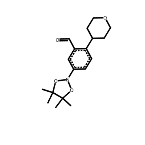 CC1(C)OB(c2ccc(C3CCOCC3)c(C=O)c2)OC1(C)C